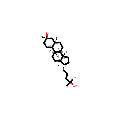 CCC(C)(O)CCC[C@H]1CC[C@H]2[C@@H]3CC[C@@H]4C[C@@](C)(O)CC[C@]4(C)[C@H]3CC[C@]12C